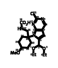 CCOC(OCC)c1cc2cnc(Cl)nc2n1C1(CNC(=O)O)CCC(OC)CC1